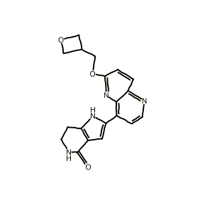 O=C1NCCc2[nH]c(-c3ccnc4ccc(OCC5COC5)nc34)cc21